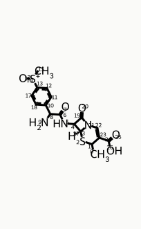 CC1S[C@@H]2C(NC(=O)C(N)c3ccc([S+](C)[O-])cc3)C(=O)N2C=C1C(=O)O